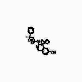 CC1(N2C(NC(=O)C[C@@](C)(O)c3ccccc3)=NCc3ccc(C#N)cc32)CCC1